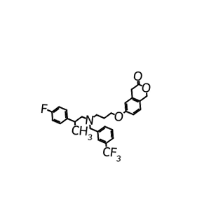 CC(CN(CCCOc1ccc2c(c1)CC(=O)OC2)Cc1cccc(C(F)(F)F)c1)c1ccc(F)cc1